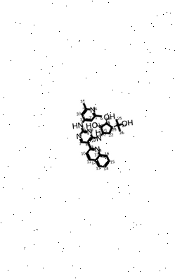 Cc1cc(Nc2ncc(-c3ccc4ccccc4n3)c(N[C@@H]3C[C@H](C(C)(C)O)[C@@H](O)[C@H]3O)n2)cc(C)n1